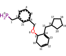 PCc1cccc(COC2CC=CC=C2CC2CCCC2)c1